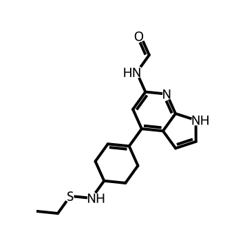 CCSNC1CC=C(c2cc(NC=O)nc3[nH]ccc23)CC1